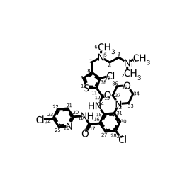 CN(C)CCN(C)Cc1csc(C(=O)Nc2c(C(=O)Nc3ccc(Cl)cn3)cc(Cl)cc2N2CCOCC2)c1Cl